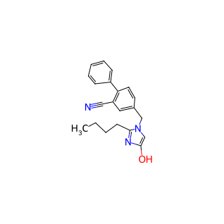 CCCCc1nc(O)cn1Cc1ccc(-c2ccccc2)c(C#N)c1